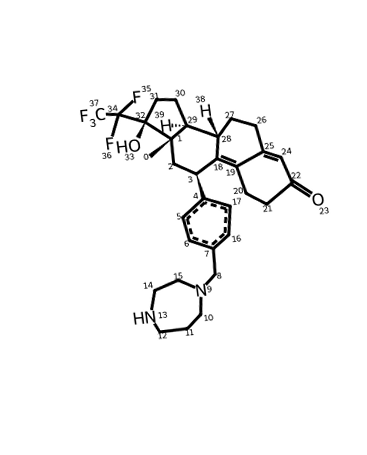 C[C@]12C[C@H](c3ccc(CN4CCCNCC4)cc3)C3=C4CCC(=O)C=C4CC[C@H]3[C@@H]1CC[C@@]2(O)C(F)(F)C(F)(F)F